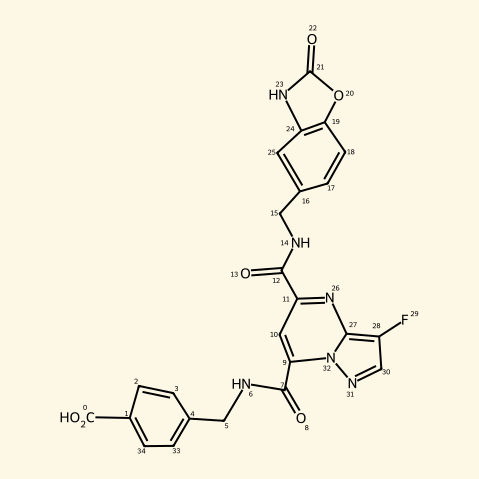 O=C(O)c1ccc(CNC(=O)c2cc(C(=O)NCc3ccc4oc(=O)[nH]c4c3)nc3c(F)cnn23)cc1